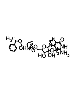 C[C@H](OC(=O)[C@@H]1CSP(=O)(OCC2O[C@@H](n3cnc4c(=O)[nH]c(N)nc43)[C@](C)(O)[C@@H]2O)N1)c1ccccc1